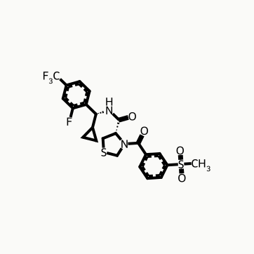 CS(=O)(=O)c1cccc(C(=O)N2CSC[C@@H]2C(=O)N[C@@H](c2ccc(C(F)(F)F)cc2F)C2CC2)c1